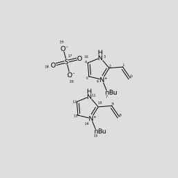 C=Cc1[nH]cc[n+]1CCCC.C=Cc1[nH]cc[n+]1CCCC.O=S(=O)([O-])[O-]